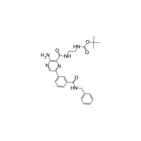 CC(C)(C)OC(=O)NCCNC(=O)c1nc(-c2cccc(C(=O)NCc3ccccc3)c2)cnc1N